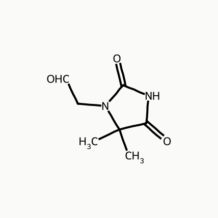 CC1(C)C(=O)NC(=O)N1CC=O